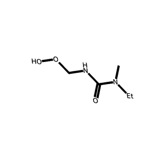 CCN(C)C(=O)NCOO